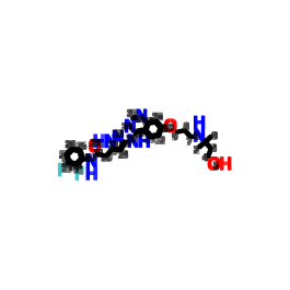 CC(C)(CCO)NCCCOc1ccc2c(Nc3cc(CC(=O)Nc4cccc(F)c4F)[nH]n3)ncnc2c1